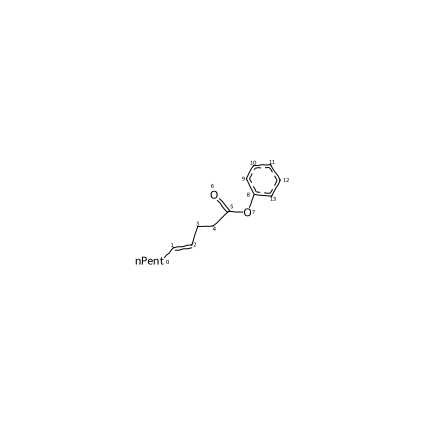 CCCCC/C=C/CCC(=O)Oc1ccccc1